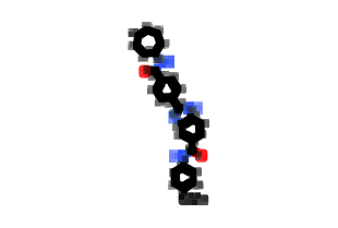 COc1ccc(NC(=O)c2ccc3[nH]c(-c4ccc(C(=O)NC5CCCCCC5)cc4)nc3c2)cc1